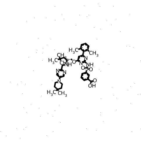 Cc1cccc(C)c1-c1cc(OC[C@@H](CC(C)(C)C)NCc2ncc(N3CCC(C)(C)CC3)cn2)nc(NS(=O)(=O)c2cccc(C(=O)O)c2)n1